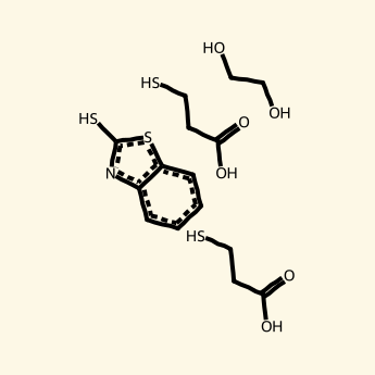 O=C(O)CCS.O=C(O)CCS.OCCO.Sc1nc2ccccc2s1